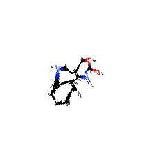 O=c1nc2c(cnc3ccccc32)co1